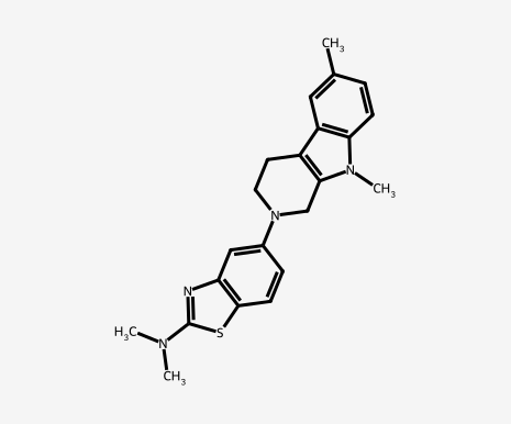 Cc1ccc2c(c1)c1c(n2C)CN(c2ccc3sc(N(C)C)nc3c2)CC1